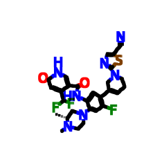 C[C@@H]1CN(c2cc(F)c(C3=CCCN(c4ncc(C#N)s4)C3)cc2NC(=O)c2c[nH]c(=O)cc2C(F)F)CCN1C